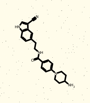 N#Cc1c[nH]c2ccc(CCNC(=O)c3ccc(N4CCC(N)CC4)cc3)cc12